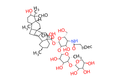 CCCCCCCCCCCC(=O)NC1C(O)C(O[C@@H]2O[C@H](C)C(O[C@@H]3OC[C@@H](O)C(O)C3O)C(O)C2O)[C@H](OC(=O)C23CC[C@@H](C)CC2C2=C4CC5C6(C)CCC(O)C(C)(C=O)[C@@H]6CC[C@@]45[C@]2(C)C[C@H]3O)O[C@@H]1CO